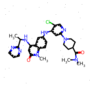 CC(Nc1cc(=O)n(C)c2ccc(Nc3cc(N4CCC(C(=O)N(C)C)CC4)ncc3Cl)cc12)c1ncccn1